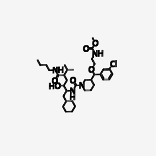 CCCCNC(=O)C(CC(O)C(CC1CCCCC1)NC(=O)N1CCCC(C(OCCNC(=O)OC)c2cccc(Cl)c2)C1)C(C)C